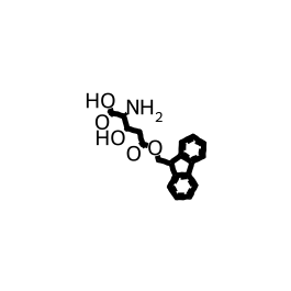 N[C@H](C(=O)O)[C@H](O)CC(=O)OCC1c2ccccc2-c2ccccc21